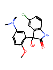 COc1ccc(N(C)C)cc1C1(O)C(=O)Nc2ccc(Cl)cc21